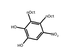 CCCCCCCCc1c([N+](=O)[O-])cc(O)c(O)c1CCCCCCCC